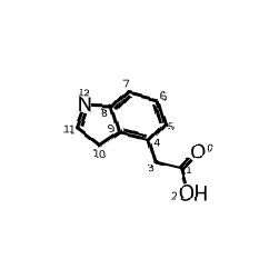 O=C(O)Cc1cccc2c1CC=N2